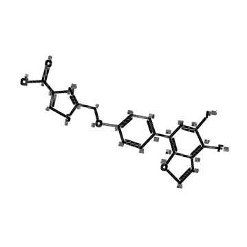 O=C(Cl)c1csc(COc2ccc(-c3cc(F)c(F)c4ccoc34)cc2)n1